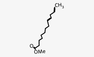 CC=CCC=CCCCCCCCC(=O)OC